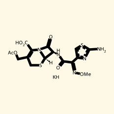 CO/N=C(/C(=O)N[C@@H]1C(=O)N2C(C(=O)O)=C(COC(C)=O)CS[C@H]12)c1csc(N)n1.[KH]